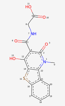 Cn1c(=O)c(C(=O)NCC(=O)O)c(O)c2sc3ccccc3c21